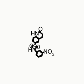 O=C1CCc2cc(S(=O)(=O)Nc3cccc([N+](=O)[O-])c3)ccc2N1